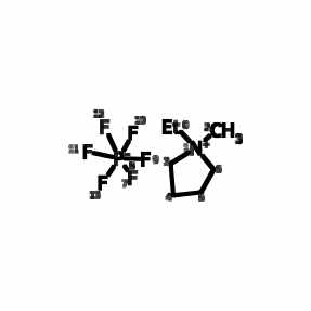 CC[N+]1(C)CCCC1.F[P-](F)(F)(F)(F)F